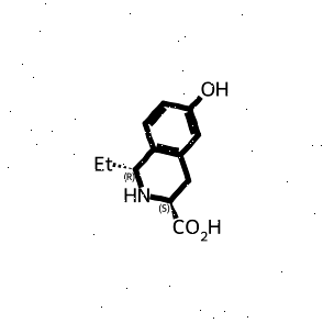 CC[C@H]1N[C@H](C(=O)O)Cc2cc(O)ccc21